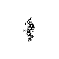 CCCS(=O)(=O)Nc1ccc(F)c(C(=O)c2c[nH]c3ncc(NC4COC4)cc23)c1F